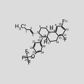 CC/C=C/[C@@H]1CC[C@H]2c3cc(F)cc(F)c3CC[C@@H]2[C@H]1c1ccc(OC(F)(F)F)cc1